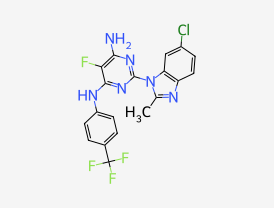 Cc1nc2ccc(Cl)cc2n1-c1nc(N)c(F)c(Nc2ccc(C(F)(F)F)cc2)n1